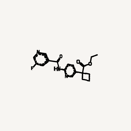 CCOC(=O)C1(c2ccc(NC(=O)c3cncc(F)c3)nc2)CCC1